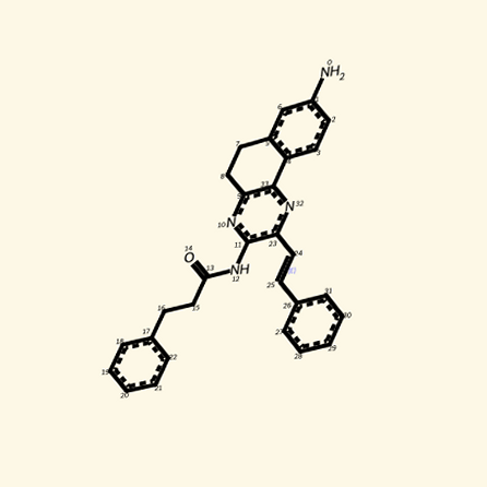 Nc1ccc2c(c1)CCc1nc(NC(=O)CCc3ccccc3)c(/C=C/c3ccccc3)nc1-2